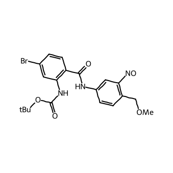 COCc1ccc(NC(=O)c2ccc(Br)cc2NC(=O)OC(C)(C)C)cc1N=O